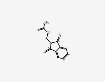 CC(C)(C)C(=O)OCN1C(=O)c2ccccc2C1=O